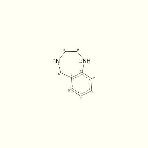 c1ccc2c(c1)C[N]CCN2